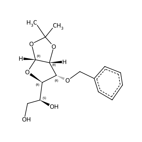 CC1(C)O[C@H]2O[C@H]([C@@H](O)CO)[C@@H](OCc3ccccc3)[C@H]2O1